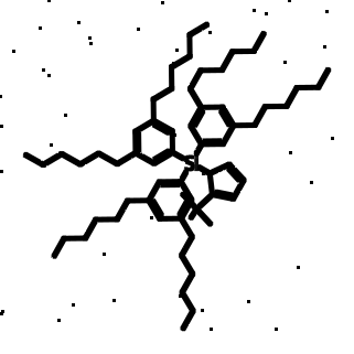 CCCCCCc1cc(CCCCCC)cc([Si]([C]2C=CC=C2C(C)(C)C)(c2cc(CCCCCC)cc(CCCCCC)c2)c2cc(CCCCCC)cc(CCCCCC)c2)c1